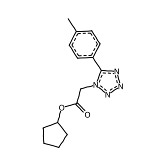 Cc1ccc(-c2nnnn2CC(=O)OC2CCCC2)cc1